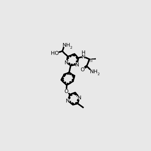 Cc1cnc(Oc2ccc(-c3nc(N[C@@H](C)C(N)=O)cc(C(N)O)n3)cc2)cn1